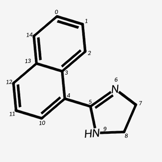 c1ccc2c(C3=NCCN3)cccc2c1